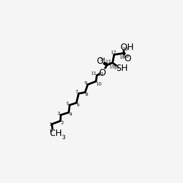 CCCCCCCCCCCCOC(=O)C(S)CC(=O)O